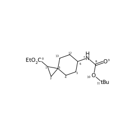 CCOC(=O)C1CC12CCC(NC(=O)OC(C)(C)C)CC2